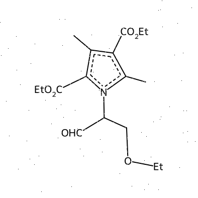 CCOCC(C=O)n1c(C)c(C(=O)OCC)c(C)c1C(=O)OCC